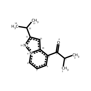 CC(C)C(=O)c1cccn2nc(C(C)C)cc12